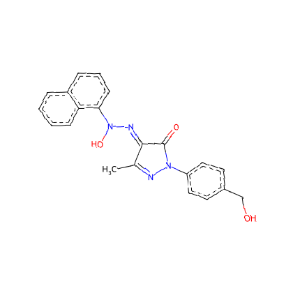 CC1=NN(c2ccc(CO)cc2)C(=O)C1=NN(O)c1cccc2ccccc12